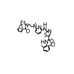 CCN(CCN(C)c1cccc(Nc2ncc(C(=O)Nc3c(C)cccc3Cl)s2)n1)C(=O)c1ccco1